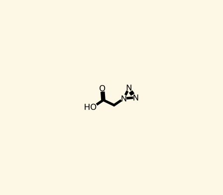 O=C(O)CN1N=N1